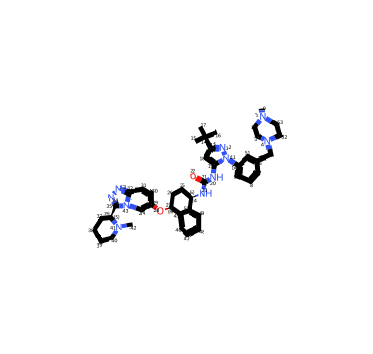 CN1CCN(Cc2cccc(-n3nc(C(C)(C)C)cc3NC(=O)N[C@H]3CC[C@@H](Oc4ccc5nnc([C@@H]6CCCCN6C)n5c4)c4ccccc43)c2)CC1